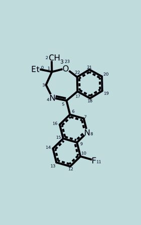 CCC1(C)CN=C(c2cnc3c(F)cccc3c2)c2ccccc2O1